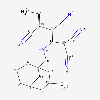 CC[C@H](C#N)C(C#N)C(NCC12CCCC(CC(C)C1)C2)C(C#N)C#N